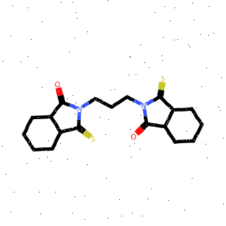 O=C1C2CCCCC2C(=S)N1CCCN1C(=O)C2CCCCC2C1=S